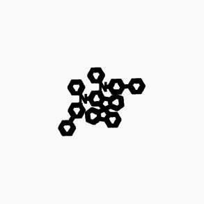 c1ccc(-c2ccc(N(c3ccccc3)c3cc(N(c4ccccc4)c4ccc(-c5ccccc5)cc4)c4c(c3)C3(c5ccccc5-c5ccccc53)c3ccccc3-4)cc2)cc1